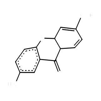 Cc1ccc2c(c1)C(=O)C1C=CC(C(=O)O)=CC1S2